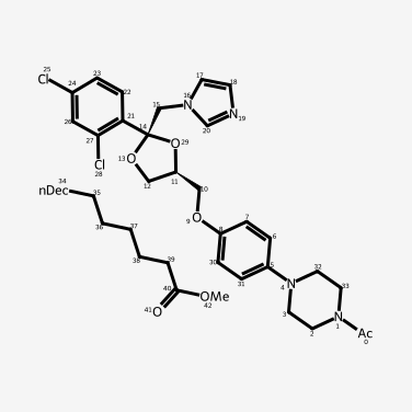 CC(=O)N1CCN(c2ccc(OC[C@H]3CO[C@](Cn4ccnc4)(c4ccc(Cl)cc4Cl)O3)cc2)CC1.CCCCCCCCCCCCCCCC(=O)OC